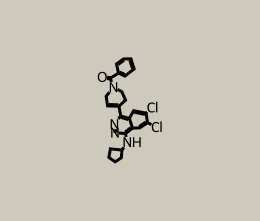 O=C(c1ccccc1)N1CC=C(c2nnc(NC3CCCC3)c3cc(Cl)c(Cl)cc23)CC1